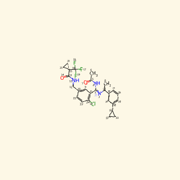 C=C(/N=C(\NC(C)=O)c1cc(CNC(=O)C2(C(F)(F)F)CC2)ccc1Cl)c1cccc(C2CC2)c1